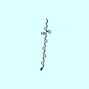 C#CCOCCOCCOCCOCCNC(=O)OCCCC